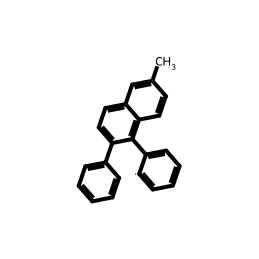 Cc1ccc2c(-c3[c]cccc3)c(-c3ccccc3)ccc2c1